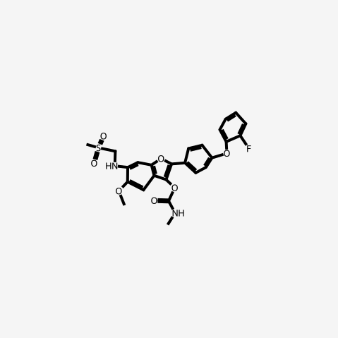 CNC(=O)Oc1c(-c2ccc(Oc3ccccc3F)cc2)oc2cc(NCS(C)(=O)=O)c(OC)cc12